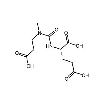 CN(CCC(=O)O)C(=O)N[C@@H](CCC(=O)O)C(=O)O